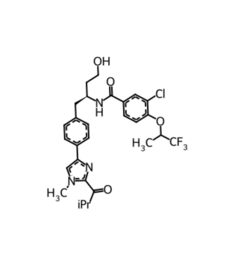 CC(C)C(=O)c1nc(-c2ccc(C[C@@H](CCO)NC(=O)c3ccc(OC(C)C(F)(F)F)c(Cl)c3)cc2)cn1C